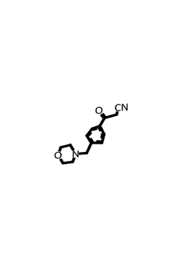 N#CCC(=O)c1ccc(CN2CCOCC2)cc1